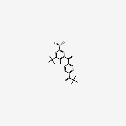 C=C(c1ccc(C(=C)C(C)(C)C)cc1)c1cc([N+](=O)[O-])cc(C(C)(C)C)c1C